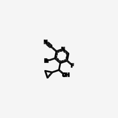 N#Cc1ncc(F)c(C(O)C2CC2)c1Br